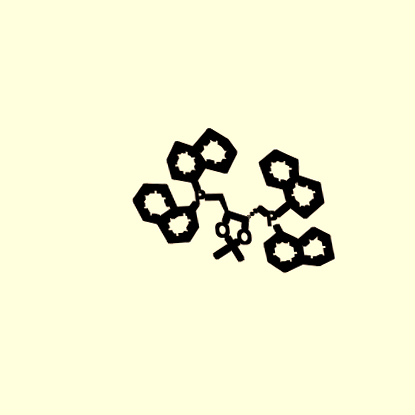 CC1(C)O[C@@H](CP(c2cccc3ccccc23)c2cccc3ccccc23)[C@H](CP(c2cccc3ccccc23)c2cccc3ccccc23)O1